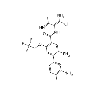 CC(=N)/C(NC(=O)c1cc(P)c(-c2ccc(C)c(N)n2)cc1OCC(F)(F)F)=C(\N)Cl